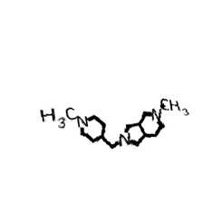 CN1CCC(CN2CC3CCN(C)CC3C2)CC1